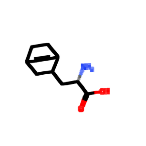 N[C@@H](CC1CC2C=CC1CC2)C(=O)O